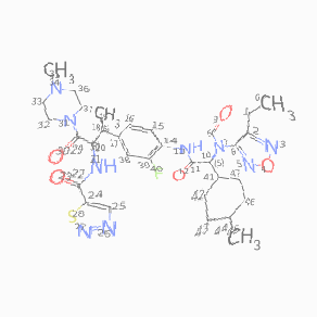 CCc1nonc1N(C=O)[C@H](C(=O)Nc1ccc([C@H](C)[C@@H](NC(=O)c2cnns2)C(=O)N2CCN(C)CC2)cc1F)C1CCC(C)CC1